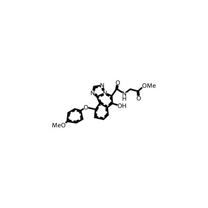 COC(=O)CNC(=O)c1c(O)c2cccc(Oc3ccc(OC)cc3)c2c2ncnn12